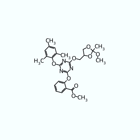 COC(=O)c1ccccc1Oc1nc(OCC2COC(C)(OC)O2)nc(Oc2c(C)cc(C)cc2C)n1